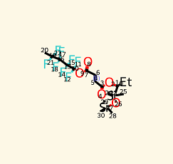 CCC(OC(=O)/C=C/C(=O)OC(F)(F)C(F)(F)C(F)(F)C(C)(F)F)[Si](C)(C)O[Si](C)(C)C